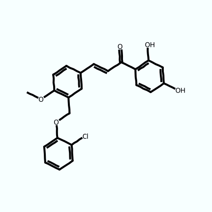 COc1ccc(/C=C/C(=O)c2ccc(O)cc2O)cc1COc1ccccc1Cl